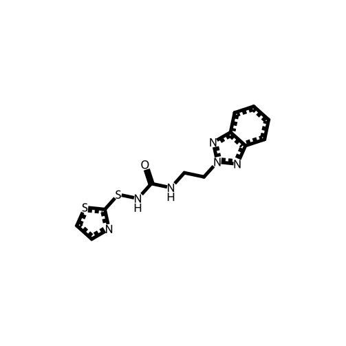 O=C(NCCn1nc2ccccc2n1)NSc1nccs1